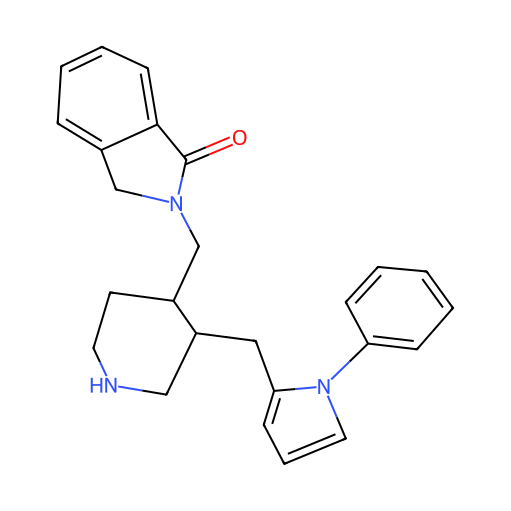 O=C1c2ccccc2CN1CC1CCNCC1Cc1cccn1-c1ccccc1